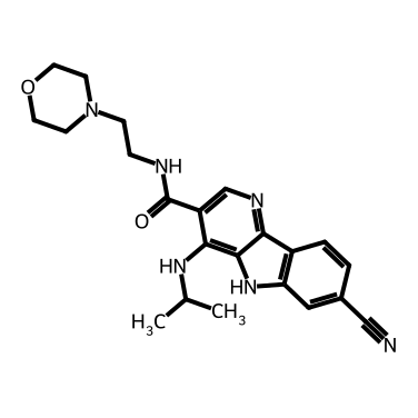 CC(C)Nc1c(C(=O)NCCN2CCOCC2)cnc2c1[nH]c1cc(C#N)ccc12